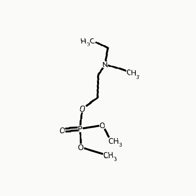 CCN(C)CCOP(=O)(OC)OC